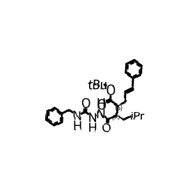 CC(C)C[C@@H](C(=O)NNC(=O)NCc1ccccc1)[C@H](CC=Cc1ccccc1)C(=O)OC(C)(C)C